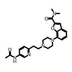 CC(=O)Nc1ccc(CCN2CCN(c3cccc4cc(C(=O)N(C)C)oc34)CC2)nc1